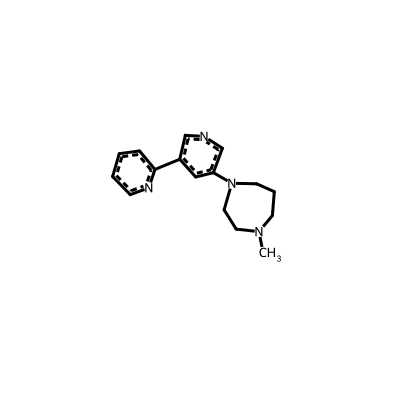 CN1CCCN(c2cncc(-c3ccccn3)c2)CC1